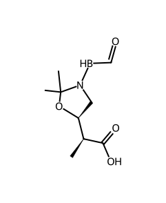 C[C@H](C(=O)O)[C@@H]1CN(BC=O)C(C)(C)O1